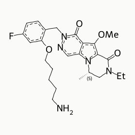 CCN1C[C@H](C)n2c(c(OC)c3c(=O)n(Cc4ccc(F)cc4OCCCCCN)ncc32)C1=O